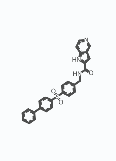 O=C(NCc1ccc(S(=O)(=O)c2ccc(-c3ccccc3)cc2)cc1)c1cc2cnccc2[nH]1